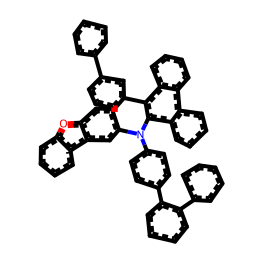 c1ccc(-c2cccc(-c3c(N(c4ccc(-c5ccccc5-c5ccccc5)cc4)c4ccc5oc6ccccc6c5c4)c4ccccc4c4ccccc34)c2)cc1